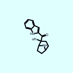 CCCC1(C(=O)c2cc3ccccc3[nH]2)CCC2CCC1N2